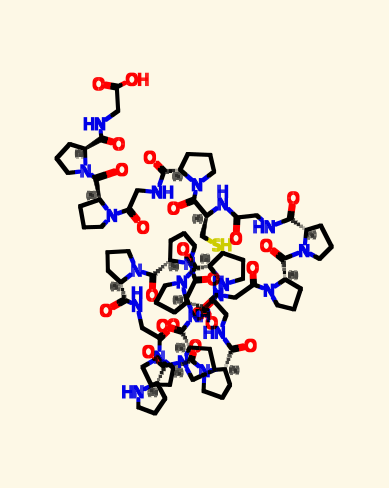 O=C(O)CNC(=O)[C@@H]1CCCN1C(=O)[C@@H]1CCCN1C(=O)CNC(=O)[C@@H]1CCCN1C(=O)[C@H](CS)NC(=O)CNC(=O)[C@@H]1CCCN1C(=O)[C@@H]1CCCN1C(=O)CNC(=O)[C@@H]1CCCN1C(=O)[C@@H]1CCCN1C(=O)CNC(=O)[C@@H]1CCCN1C(=O)[C@@H]1CCCN1C(=O)CNC(=O)[C@@H]1CCCN1C(=O)[C@@H]1CCCN1C(=O)CNC(=O)[C@@H]1CCCN1C(=O)[C@@H]1CCCN1